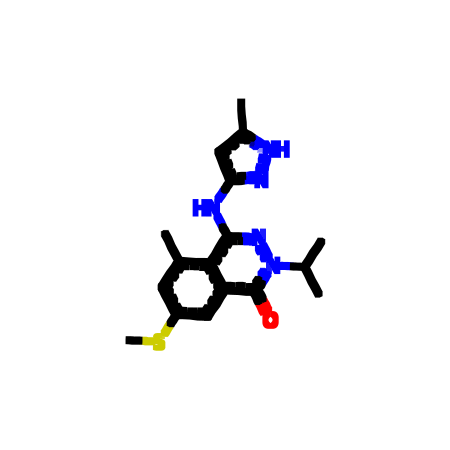 CSc1cc(C)c2c(Nc3cc(C)[nH]n3)nn(C(C)C)c(=O)c2c1